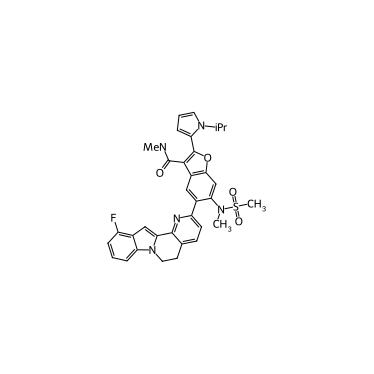 CNC(=O)c1c(-c2cccn2C(C)C)oc2cc(N(C)S(C)(=O)=O)c(-c3ccc4c(n3)-c3cc5c(F)cccc5n3CC4)cc12